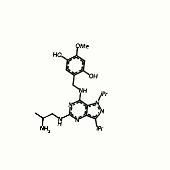 COc1cc(O)c(CNc2nc(NCC(C)N)nc3c(C(C)C)nn(C(C)C)c23)cc1O